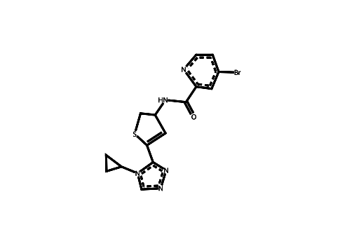 O=C(NC1C=C(c2nncn2C2CC2)SC1)c1cc(Br)ccn1